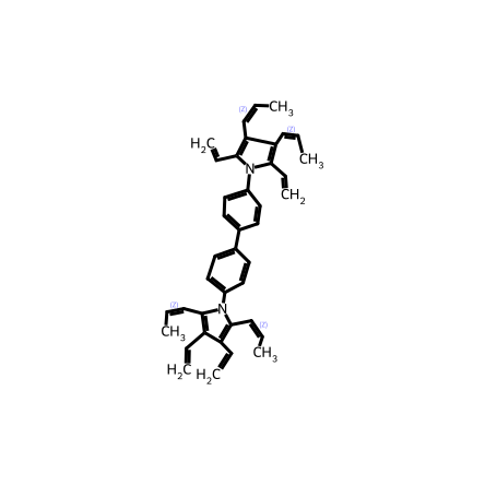 C=Cc1c(C=C)c(/C=C\C)n(-c2ccc(-c3ccc(-n4c(C=C)c(/C=C\C)c(/C=C\C)c4C=C)cc3)cc2)c1/C=C\C